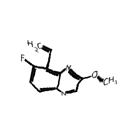 C=Cc1c(F)ccc2ncc(OC)nc12